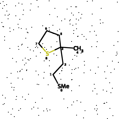 CSCCC1(C)CCCS1